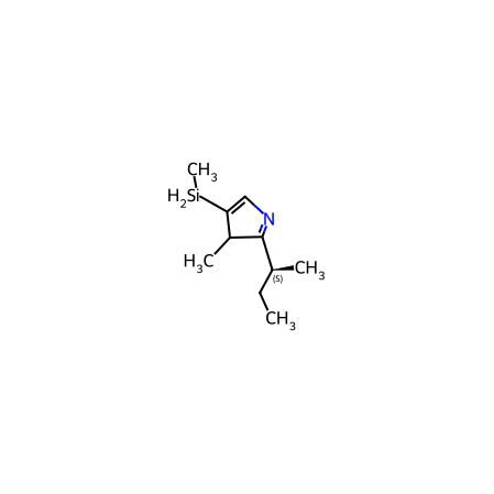 CC[C@H](C)C1=NC=C([SiH2]C)C1C